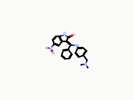 CN(C)Cc1ccc(N/C(=C2\C(=O)Nc3ccc([N+](=O)[O-])cc32)c2ccccc2)cc1